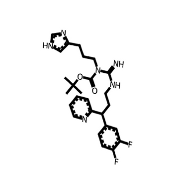 CC(C)(C)OC(=O)N(CCCc1c[nH]cn1)C(=N)NCCC(c1ccc(F)c(F)c1)c1ccccn1